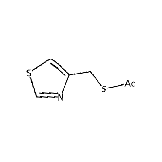 CC(=O)SCc1cscn1